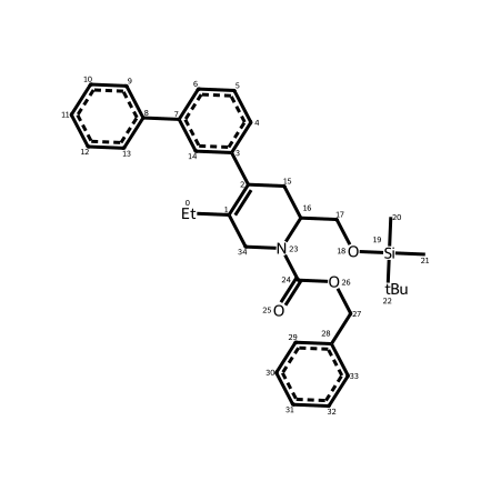 CCC1=C(c2cccc(-c3ccccc3)c2)CC(CO[Si](C)(C)C(C)(C)C)N(C(=O)OCc2ccccc2)C1